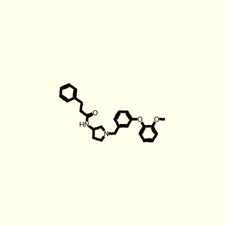 COc1ccccc1Oc1cccc(CN2CCC(NC(=O)CCc3ccccc3)C2)c1